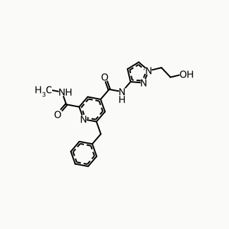 CNC(=O)c1cc(C(=O)Nc2ccn(CCO)n2)cc(Cc2ccccc2)n1